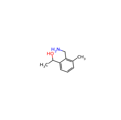 Cc1cccc(C(C)O)c1CN